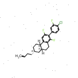 C=CCC[C@@H]1CC[C@@H]2c3cc(F)c(-c4ccc(Cl)c(F)c4)c(F)c3CC[C@@H]2C1